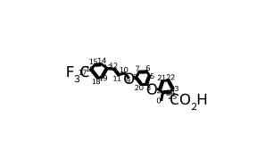 Cc1c(Oc2cccc(OCC=Cc3ccc(C(F)(F)F)cc3)c2)cccc1C(=O)O